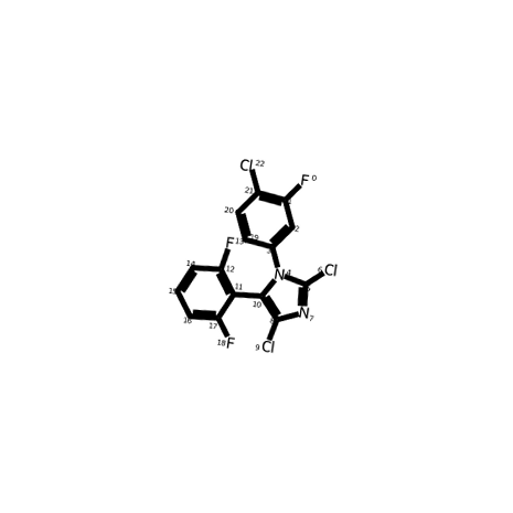 Fc1cc(-n2c(Cl)nc(Cl)c2-c2c(F)cccc2F)ccc1Cl